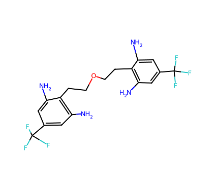 Nc1cc(C(F)(F)F)cc(N)c1CCOCCc1c(N)cc(C(F)(F)F)cc1N